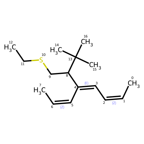 C\C=C/C=C(\C=C/C)C(CSCC)C(C)(C)C